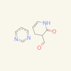 O=CC1CC=CNC1=O.c1cncnc1